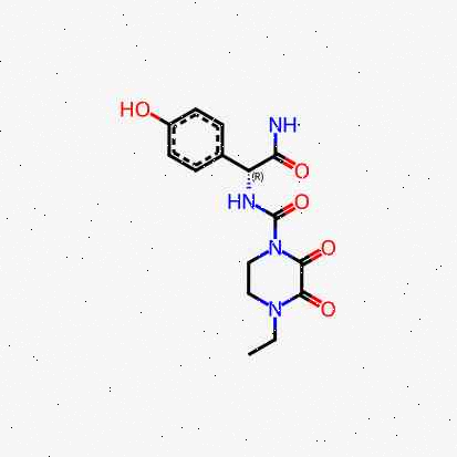 CCN1CCN(C(=O)N[C@@H](C([NH])=O)c2ccc(O)cc2)C(=O)C1=O